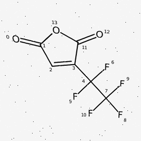 O=C1C=C(C(F)(F)C(F)(F)F)C(=O)O1